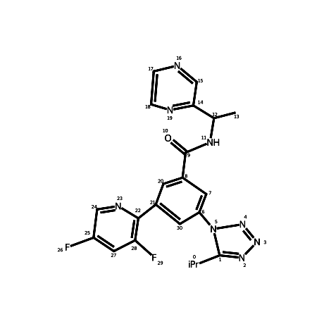 CC(C)c1nnnn1-c1cc(C(=O)NC(C)c2cnccn2)cc(-c2ncc(F)cc2F)c1